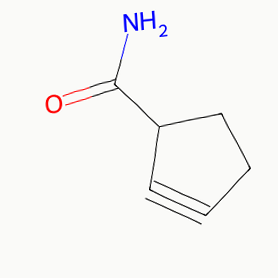 NC(=O)C1C#CCC1